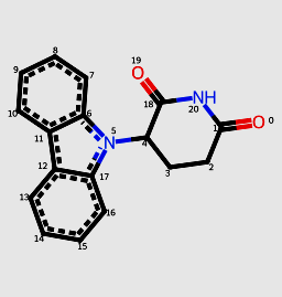 O=C1CCC(n2c3ccccc3c3ccccc32)C(=O)N1